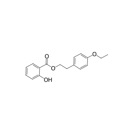 CCOc1ccc(CCOC(=O)c2ccccc2O)cc1